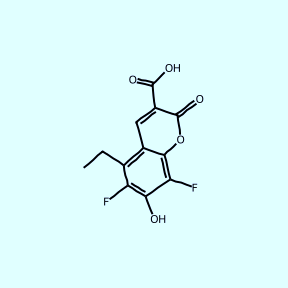 CCc1c(F)c(O)c(F)c2oc(=O)c(C(=O)O)cc12